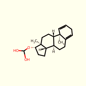 C[C@]12CC[C@H]3[C@@H](CCC4=CCC=C[C@@]43C)[C@@H]1CC[C@@H]2OC(O)O